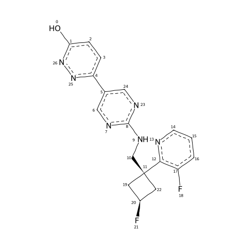 Oc1ccc(-c2cnc(NC[C@]3(c4ncccc4F)C[C@H](F)C3)nc2)nn1